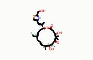 C/C(=C\c1csc(CO)n1)[C@@H]1C/C=C(/CF)C/C=C/[C@H](C)[C@H](O)[C@@H](C)C(=O)C(C)(C)[C@@H](O)CC(=O)O1